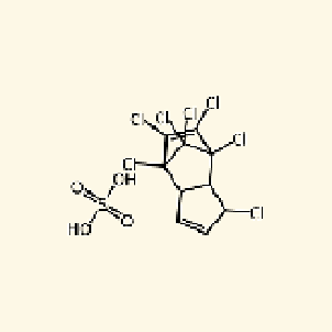 ClC1=C(Cl)C2(Cl)C3C(Cl)C=CC3C1(Cl)C2(Cl)Cl.O=S(=O)(O)O